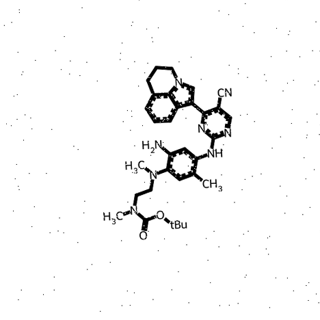 Cc1cc(N(C)CCN(C)C(=O)OC(C)(C)C)c(N)cc1Nc1ncc(C#N)c(-c2cn3c4c(cccc24)CCC3)n1